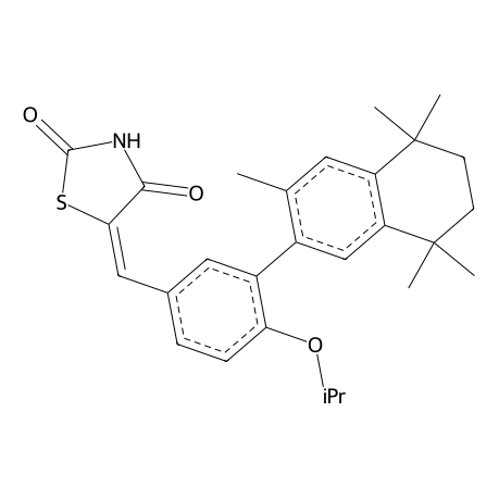 Cc1cc2c(cc1-c1cc(C=C3SC(=O)NC3=O)ccc1OC(C)C)C(C)(C)CCC2(C)C